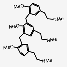 CNCCc1ccc(OC)c(Cc2cc(CCNC)cc(Cc3cc(CCNC)ccc3OC)c2OC)c1